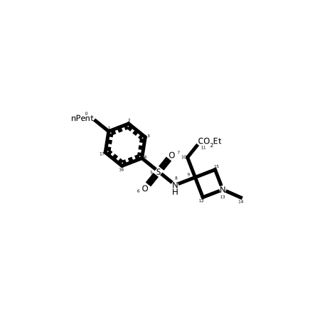 CCCCCc1ccc(S(=O)(=O)NC2(CC(=O)OCC)CN(C)C2)cc1